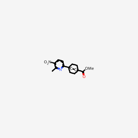 COC(=O)C12CCC(c3ccc([N+](=O)[O-])c(C)n3)(CC1)CC2